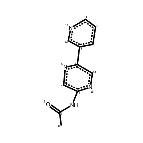 CC(=O)Nc1cnc(-c2cccnc2)cn1